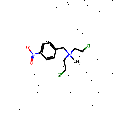 C[N+](CCCl)(CCCl)Cc1ccc([N+](=O)[O-])cc1